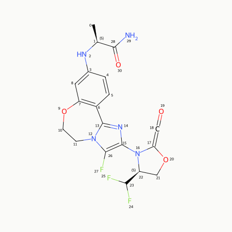 C[C@H](Nc1ccc2c(c1)OCCn1c-2nc(N2C(=C=O)OC[C@H]2C(F)F)c1F)C(N)=O